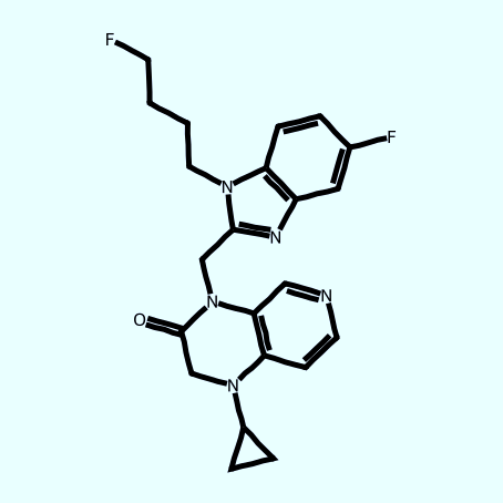 O=C1CN(C2CC2)c2ccncc2N1Cc1nc2cc(F)ccc2n1CCCCF